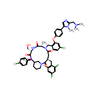 C[C@H]1C(=O)N[C@@H](CO)C(=O)N(C)[C@@]2(Cc3ccc(Cl)cc3)CCCN(C2)C(=O)[C@H](Cc2c(F)cc(F)cc2F)CC(=O)N1Cc1ccc(Cl)cc1Oc1ccc(-c2cnc(CN(C)C)n2C)cc1